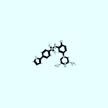 C[C@@H]1CN(c2ccc(Cl)c(NS(=O)(=O)c3ccc(-c4ccco4)cc3)c2)C[C@H](C)N1